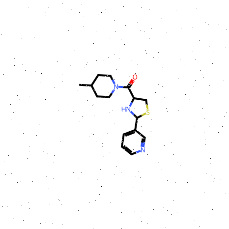 CC1CCN(C(=O)C2CSC(c3cccnc3)N2)CC1